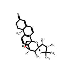 C[C@H]1[C@H](O)[C@@]2(OC1(C)C)O[C@]13CC[C@H]([C@@H]2C)[C@@]1(C)C=CC1=C3C=CC2=CC(=O)CC[C@@]21C